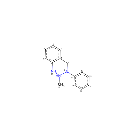 CNN(Cc1ccccc1N)c1ccccc1